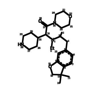 CCN(C(C)Cc1ccc2c(c1)OCC2(C)C)C(C(=O)N1CCOCC1)C1CCNCC1